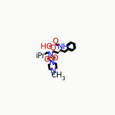 CC(C)CN(CC[C@H](Cc1ccccc1)NC(=O)OO)S(=O)(=O)N1CCN(C)CC1